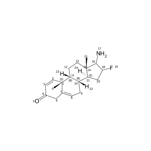 C[C@]12C=CC(=O)CC1=CC[C@@H]1[C@H]2CC[C@]2(C)C(N)C(F)C[C@@H]12